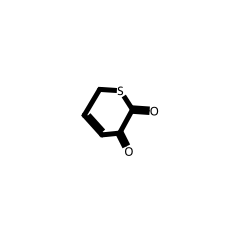 O=C1C=CCSC1=O